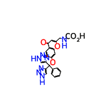 O=C(O)NCc1cc(=O)c2ccc(OC(c3ccccc3)(c3c[nH]nn3)c3c[nH]nn3)cc2o1